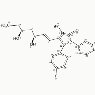 CC(C)n1c(C=C[C@@H](O)C[C@@H](O)CC(=O)O)c(-c2ccc(F)cc2)n(-c2ccccc2)c1=O